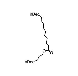 CCCCCCCCCCCCCCCCCCCC(=O)OCCCCCCCCCCCCC